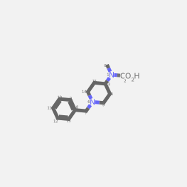 CN(C(=O)O)C1CCN(Cc2ccccc2)CC1